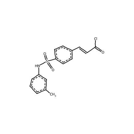 Cc1cccc(NS(=O)(=O)c2ccc(C=CC(=O)Cl)cc2)c1